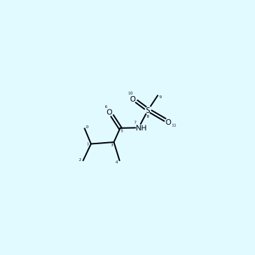 CC(C)C(C)C(=O)NS(C)(=O)=O